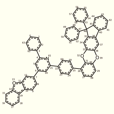 c1ccc(-c2cc(-c3ccc4c(c3)oc3ccccc34)cc(-c3ccc(-c4cccc5c4Oc4cc6c(cc4O5)-c4ccccc4C6(c4ccccc4)c4ccccc4)cc3)n2)cc1